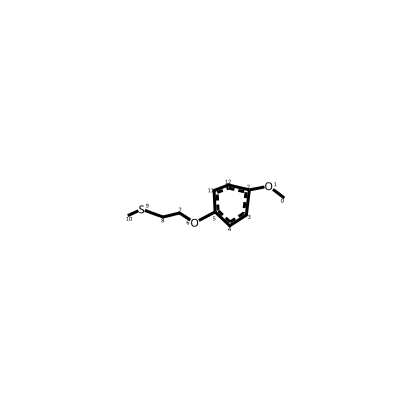 COc1ccc(OCCSC)cc1